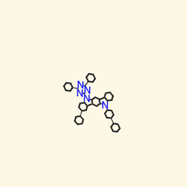 c1ccc(-c2ccc(-n3c4ccccc4c4cc5c(cc43)c3cc(-c4ccccc4)ccc3n5-c3nc(-c4ccccc4)nc(-c4ccccc4)n3)cc2)cc1